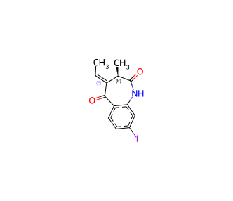 C/C=C1/C(=O)c2ccc(I)cc2NC(=O)[C@@H]1C